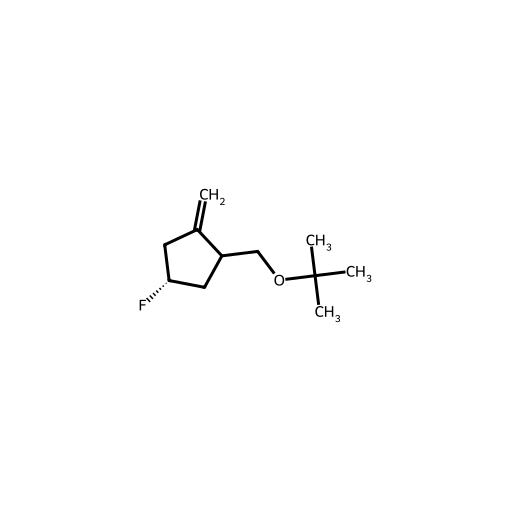 C=C1C[C@@H](F)CC1COC(C)(C)C